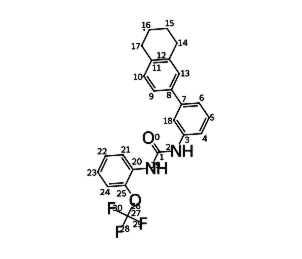 O=C(Nc1cccc(-c2ccc3c(c2)CC[CH]C3)c1)Nc1ccccc1OC(F)(F)F